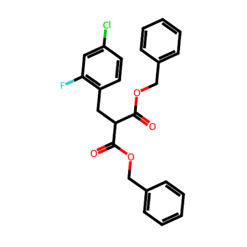 O=C(OCc1ccccc1)C(Cc1ccc(Cl)cc1F)C(=O)OCc1ccccc1